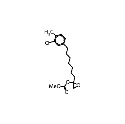 COC(=O)OC1(CCCCCCCc2ccc(C)c(Cl)c2)CO1